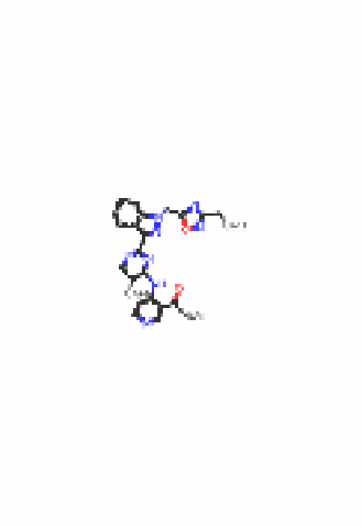 CNC(=O)c1cnccc1Nc1nc(-c2nn(Cc3nc(COC)no3)c3ccccc23)ncc1OC